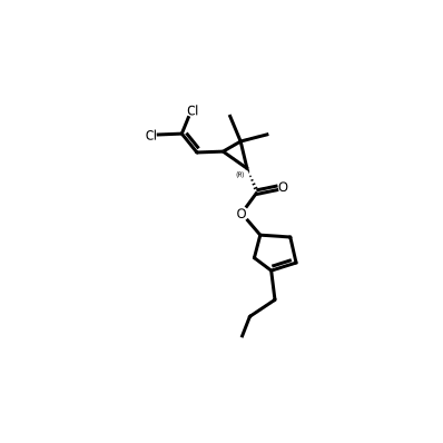 CCCC1=CCC(OC(=O)[C@@H]2C(C=C(Cl)Cl)C2(C)C)C1